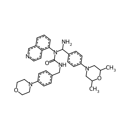 CC1CN(c2ccc(C(N)N(C(=O)NCc3ccc(N4CCOCC4)cc3)c3cccc4cnccc34)cc2)CC(C)O1